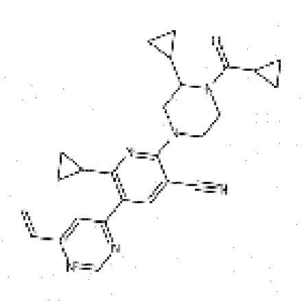 C=Cc1cc(-c2cc(C#N)c(N3CCN(C(=O)C4CC4)C(C4CC4)C3)nc2C2CC2)ncn1